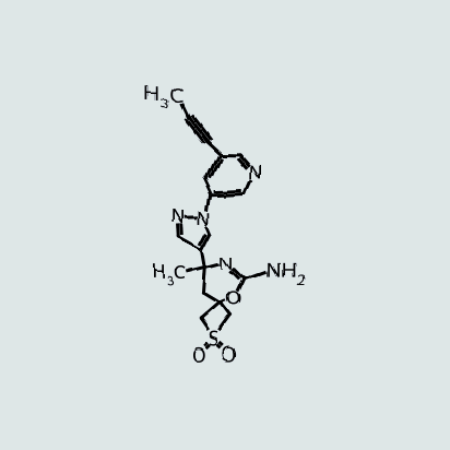 CC#Cc1cncc(-n2cc(C3(C)CC4(CS(=O)(=O)C4)OC(N)=N3)cn2)c1